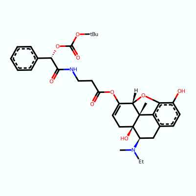 CCN(C)[C@@H]1Cc2ccc(O)c3c2[C@@]2(C)[C@@H](O3)C(OC(=O)CCNC(=O)[C@@H](OC(=O)OC(C)(C)C)c3ccccc3)=CC[C@@]12O